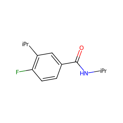 CC(C)NC(=O)c1ccc(F)c(C(C)C)c1